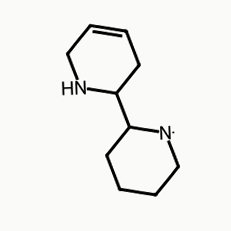 C1=CCC(C2CCCC[N]2)NC1